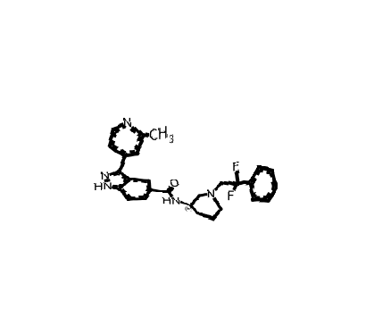 Cc1cc(-c2n[nH]c3ccc(C(=O)N[C@@H]4CCCN(CC(F)(F)c5ccccc5)C4)cc23)ccn1